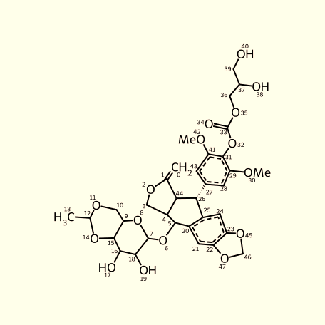 C=C1OCC2C(OC3OC4COC(C)OC4C(O)C3O)c3cc4c(cc3[C@@H](c3cc(OC)c(OC(=O)OCC(O)CO)c(OC)c3)C12)OCO4